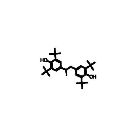 CC(Cc1cc(C(C)(C)C)c(O)c(C(C)(C)C)c1)c1cc(C(C)(C)C)c(O)c(C(C)(C)C)c1